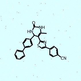 CC1=C(c2nc(-c3ccc(C#N)cc3)cs2)C(c2ccc(-c3ccccc3)cc2)NC(=O)N1